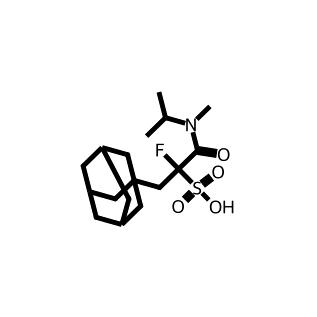 CC(C)N(C)C(=O)C(F)(CC12CC3CC(CC(C3)C1)C2)S(=O)(=O)O